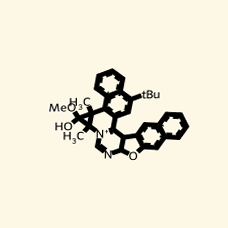 COC1(O)C2(C)c3c(cc(C(C)(C)C)c4ccccc34)C3=[N+](C=NC4Oc5cc6ccccc6cc5C34)C12C